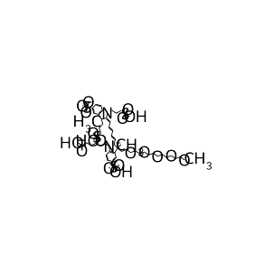 COCCOCCOCCOCCOCCC1(C)C(/C=C/C=C/C=C2/N(CCCS(=O)(=O)O)c3ccc(S(=O)(=O)[O-])cc3C2(C)CCCS(=O)(=O)O)=[N+](CCCCCC(=O)O)c2ccc(S(=O)(=O)O)cc21